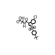 CC(C)(NC(=O)c1cn(S(=O)(=O)c2ccc(C(C)(C)C)cc2)c2ccc(Cl)cc12)C(=O)O